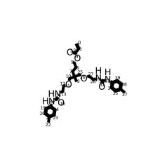 C=CC(=O)OCCCC(C)(COCCNC(=O)Nc1ccc(C)cc1)COCCNC(=O)Nc1ccc(C)cc1